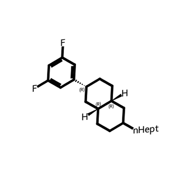 CCCCCCCC1CC[C@@H]2C[C@H](c3cc(F)cc(F)c3)CC[C@@H]2C1